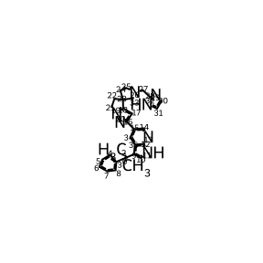 CC(C)(c1ccccc1)c1c[nH]c2ncc(-c3cc4n(n3)CCC43CCN(Cc4ncc[nH]4)C3)cc12